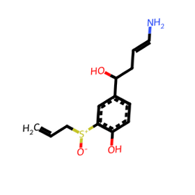 C=CC[S+]([O-])c1cc(C(O)CC=CN)ccc1O